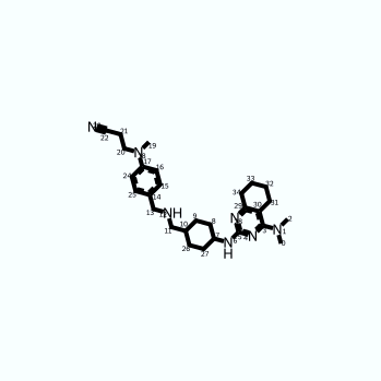 CN(C)c1nc(NC2CCC(CNCc3ccc(N(C)CCC#N)cc3)CC2)nc2c1CCCC2